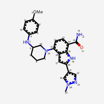 COc1ccc(NC2CCCN(c3ccc(C(N)=O)c4[nH]c(-c5cnn(C)c5)cc34)C2)cc1